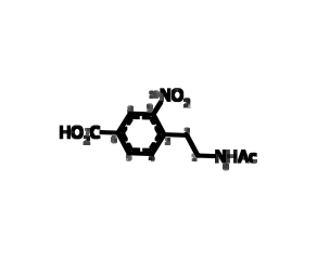 CC(=O)NCCc1ccc(C(=O)O)cc1[N+](=O)[O-]